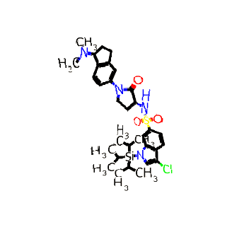 CC(C)[Si](C(C)C)(C(C)C)n1cc(Cl)c2ccc(S(=O)(=O)N[C@H]3CCN(c4ccc5c(c4)CCC5N(C)C)C3=O)cc21